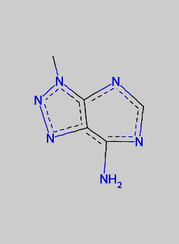 Cn1nnc2c(N)ncnc21